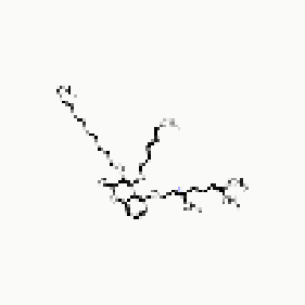 CCC=CCCOc1c(OCCCCCCCCCC)c(=O)oc2cccc(OC/C=C(\C)CCC=C(C)C)c12